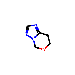 c1nc2n(n1)COCC2